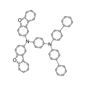 c1ccc(-c2ccc(N(c3ccc(-c4ccccc4)cc3)c3ccc(N(c4ccc5oc6ccccc6c5c4)c4ccc5oc6ccccc6c5c4)cc3)cc2)cc1